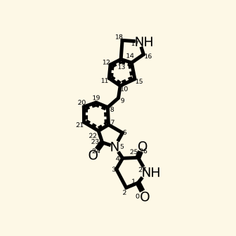 O=C1CCC(N2Cc3c(Cc4ccc5c(c4)CNC5)cccc3C2=O)C(=O)N1